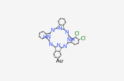 Clc1ccc2c3nc4nc(nc5[nH]c(nc6nc(nc([nH]3)c2c1Cl)-c1ccccc1-6)c1ccccc51)-c1ccccc1-4.[Au]